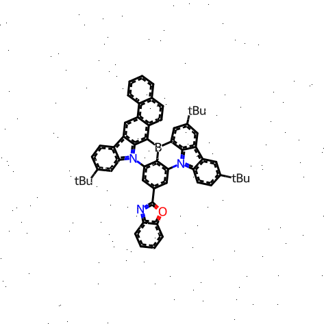 CC(C)(C)c1ccc2c(c1)c1cc(C(C)(C)C)cc3c1n2-c1cc(-c2nc4ccccc4o2)cc2c1B3c1c3ccc4ccccc4c3cc3c4ccc(C(C)(C)C)cc4n-2c13